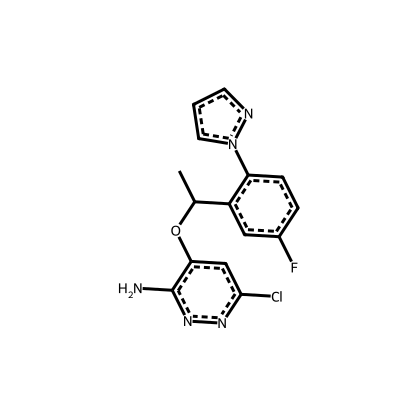 CC(Oc1cc(Cl)nnc1N)c1cc(F)ccc1-n1cccn1